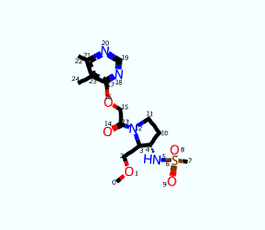 COCC1[C@@H](NS(C)(=O)=O)CCN1C(=O)COc1ncnc(C)c1C